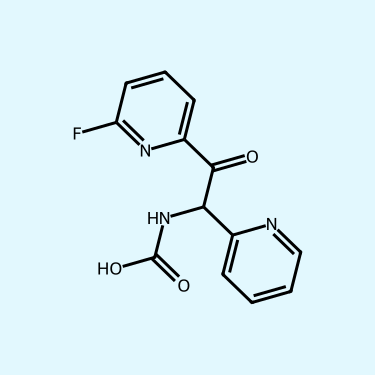 O=C(O)NC(C(=O)c1cccc(F)n1)c1ccccn1